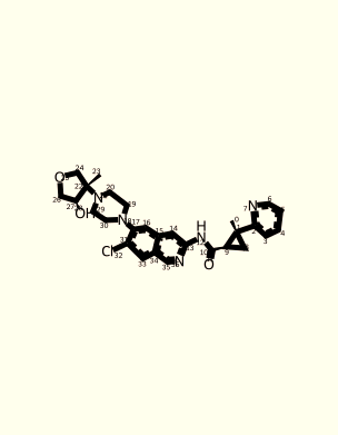 C[C@@]1(c2ccccn2)C[C@H]1C(=O)Nc1cc2cc(N3CCN([C@@]4(C)COC[C@H]4O)CC3)c(Cl)cc2cn1